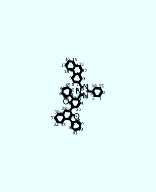 c1ccc(-c2nc(-c3ccc4c(ccc5ccccc54)c3)nc(-c3ccc(-c4cc5ccccc5c5c4oc4ccccc45)c4oc5ccccc5c34)n2)cc1